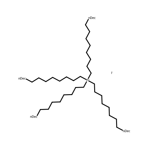 CCCCCCCCCCCCCCCCCC[P+](CCCCCCCCCCCCCCCCCC)(CCCCCCCCCCCCCCCCCC)CCCCCCCCCCCCCCCCCC.[I-]